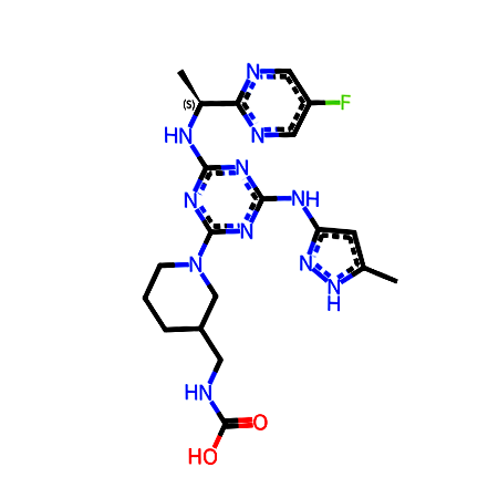 Cc1cc(Nc2nc(N[C@@H](C)c3ncc(F)cn3)nc(N3CCCC(CNC(=O)O)C3)n2)n[nH]1